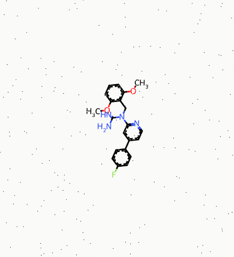 COc1cccc(OC)c1CN(C(=N)N)c1cc(-c2ccc(F)cc2)ccn1